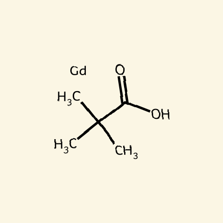 CC(C)(C)C(=O)O.[Gd]